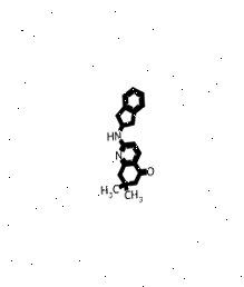 CC1(C)CC(=O)c2ccc(NC3Cc4ccccc4C3)nc2C1